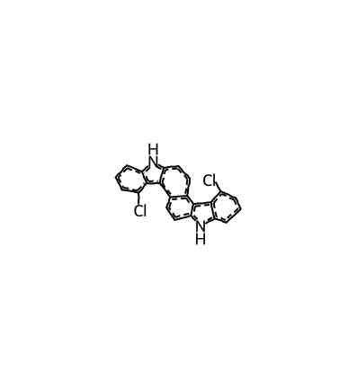 Clc1cccc2[nH]c3ccc4c(ccc5[nH]c6cccc(Cl)c6c54)c3c12